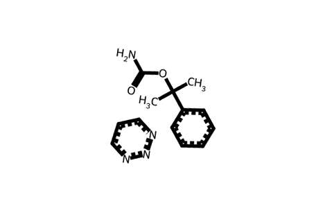 CC(C)(OC(N)=O)c1ccccc1.c1cnnnc1